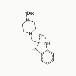 CCCCCCCCCCN1CCN(CC2(C)Nc3ccccc3N2)CC1